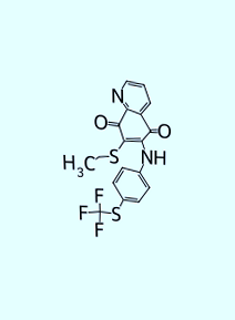 CCSC1=C(Nc2ccc(SC(F)(F)F)cc2)C(=O)c2cccnc2C1=O